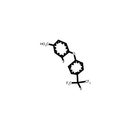 O=C(O)c1ccc(Oc2ccc(C(F)(C(F)(F)F)C(F)(F)F)cc2)c(F)c1